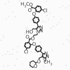 COC(=O)c1ccc(Cl)cc1Oc1ccc(-c2nnn(CCOC(=O)c3ccc(Cl)cc3Oc3ccc(-c4nnn(C)c4COC4CCCCO4)cc3)c2CO)cc1